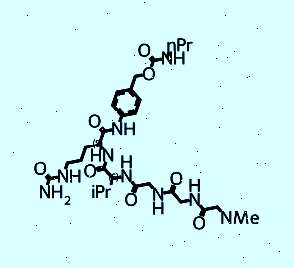 CCCNC(=O)OCc1ccc(NC(=O)[C@H](CCCNC(N)=O)NC(=O)[C@@H](NC(=O)CNC(=O)CNC(=O)CNC)C(C)C)cc1